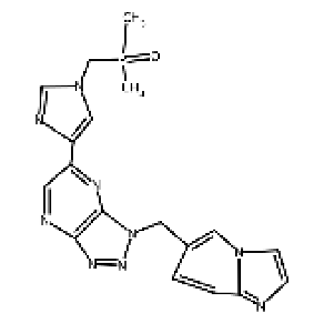 CP(C)(=O)Cn1cnc(-c2cnc3nnn(Cc4ccc5nccn5c4)c3n2)c1